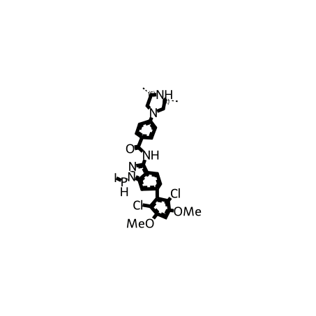 COc1cc(OC)c(Cl)c(-c2ccc3c(NC(=O)c4ccc(N5C[C@@H](C)N[C@@H](C)C5)cc4)nn(PI)c3c2)c1Cl